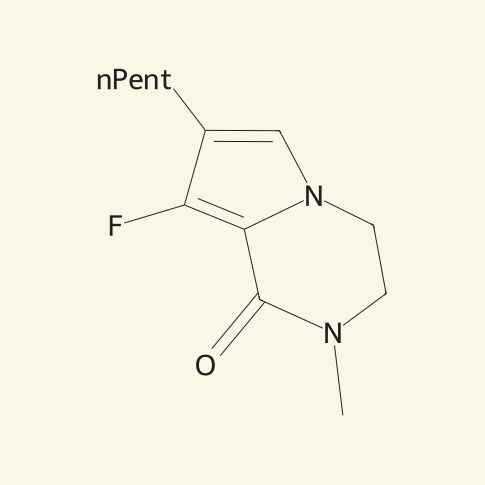 CCCCCc1cn2c(c1F)C(=O)N(C)CC2